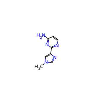 Cn1cnc(-c2nccc(N)n2)c1